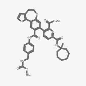 COC(=O)c1nc(C(=O)NC2(C)CCCCCC2)ccc1-c1cc2c(cc1C(=O)Nc1ccc(CNC(=O)OC(C)(C)C)cc1)-c1sccc1CCO2